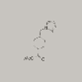 COC(=O)C1CCC(Cn2cc[c]n2)CC1